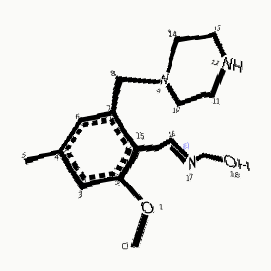 COc1cc(C)cc(CN2CCNCC2)c1/C=N/O